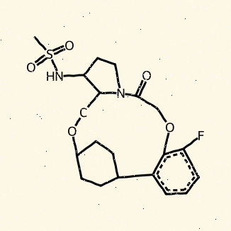 CS(=O)(=O)NC1CCN2C(=O)COc3c(F)cccc3C3CCC(CC3)OCC12